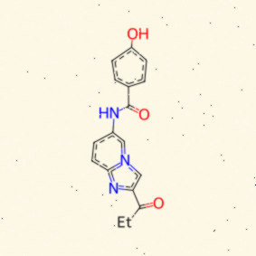 CCC(=O)c1cn2cc(NC(=O)c3ccc(O)cc3)ccc2n1